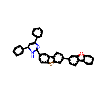 C1=C(c2ccccc2)N=C(c2ccc3sc4cc(-c5ccc6c(c5)oc5ccccc56)ccc4c3c2)NC1c1ccccc1